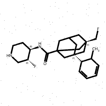 CC1C=CC=CC1[C@]12CC3CC(C(=O)N[C@@H]4CCNC[C@H]4F)(C[C@](CF)(C3)C1)C2